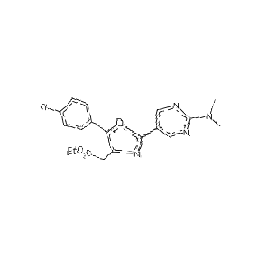 CCOC(=O)Cc1nc(-c2cnc(N(C)C)nc2)oc1-c1ccc(Cl)cc1